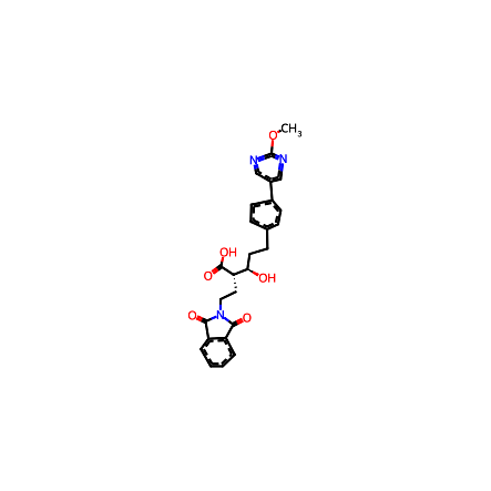 COc1ncc(-c2ccc(CC[C@@H](O)[C@H](CCN3C(=O)c4ccccc4C3=O)C(=O)O)cc2)cn1